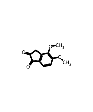 COc1ccc2c(c1OC)CC(=O)C2=O